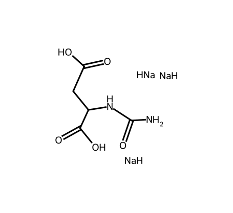 NC(=O)NC(CC(=O)O)C(=O)O.[NaH].[NaH].[NaH]